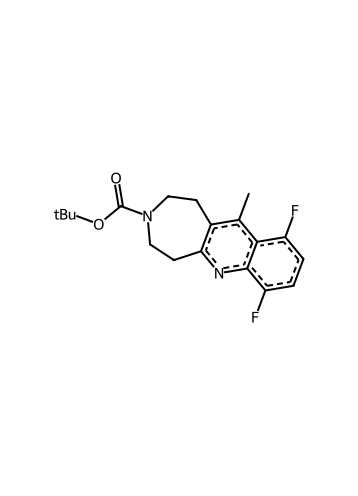 Cc1c2c(nc3c(F)ccc(F)c13)CCN(C(=O)OC(C)(C)C)CC2